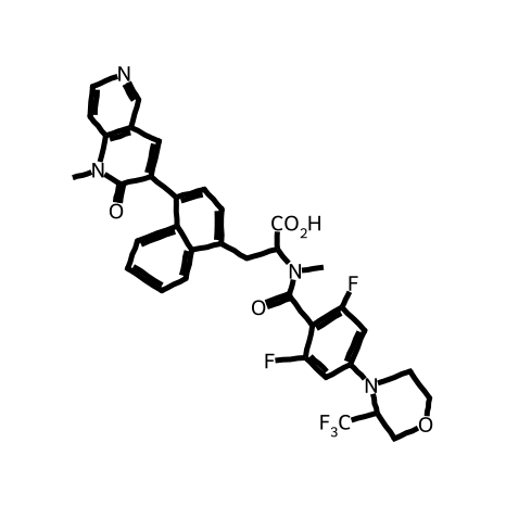 CN(C(=O)c1c(F)cc(N2CCOCC2C(F)(F)F)cc1F)C(Cc1ccc(-c2cc3cnccc3n(C)c2=O)c2ccccc12)C(=O)O